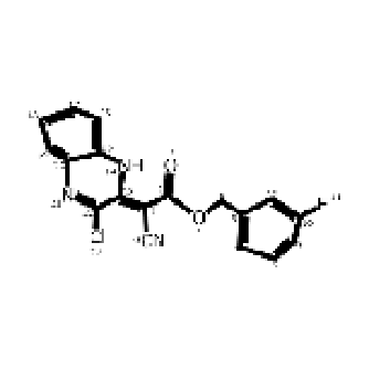 N#C/C(C(=O)OCc1cccc(F)c1)=C1/Nc2ccccc2N=C1Cl